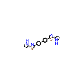 c1cc(-c2csc([C@@H]3CCCN3)n2)ccc1-c1ccc(-c2cnc([C@@H]3CCCN3)s2)cc1